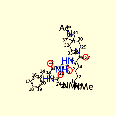 CNCCCC[C@@H](NC(=O)CNC(=O)C(Cc1ccccc1)NC(=O)CNC)C(=O)N1CCC2(CC1)CN(C(C)=O)C2